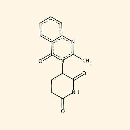 Cc1nc2ccccc2c(=O)n1C1CCC(=O)NC1=O